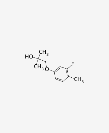 Cc1ccc(OCC(C)(C)O)cc1F